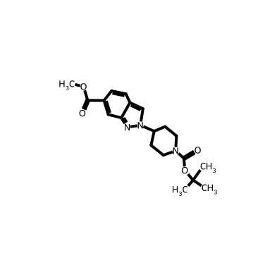 COC(=O)c1ccc2cn(C3CCN(C(=O)OC(C)(C)C)CC3)nc2c1